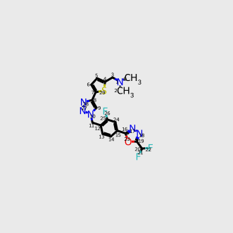 CN(C)Cc1ccc(-c2cn(Cc3ccc(-c4nnc(C(F)F)o4)cc3F)nn2)s1